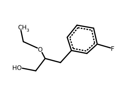 CCOC(CO)Cc1cccc(F)c1